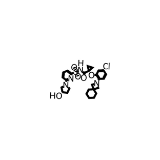 O=C(NS(=O)(=O)c1cccc(N2CCC(O)C2)n1)C1(Oc2cc(Cl)ccc2N2CC3(CCCCC3)C2)CC1